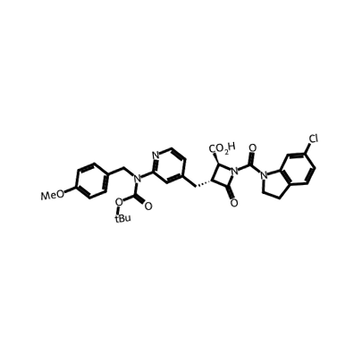 COc1ccc(CN(C(=O)OC(C)(C)C)c2cc(C[C@H]3C(=O)N(C(=O)N4CCc5ccc(Cl)cc54)[C@@H]3C(=O)O)ccn2)cc1